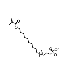 C=C(C)C(=O)OCCCCCCCCCC[N+](C)(C)CCCS(=O)(=O)[O-]